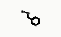 CC[C@H](C)NCc1cccnc1